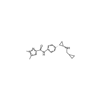 Cc1cc(C(=O)Nc2ccc([C@@H]3C[C@H]3NCC3CC3)cc2)nn1C